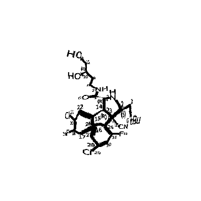 CC(C)(C)C[C@@H]1N[C@@H](C(=O)NCC[C@@H](O)CO)[C@H](c2ccc(F)c(Cl)c2)[C@@]1(C#N)c1ccc(Cl)cc1F